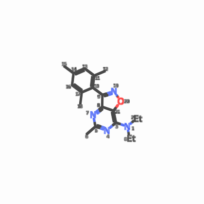 CCN(CC)c1nc(C)nc2c(-c3c(C)cc(C)cc3C)noc12